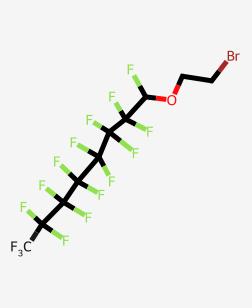 FC(OCCBr)C(F)(F)C(F)(F)C(F)(F)C(F)(F)C(F)(F)C(F)(F)C(F)(F)F